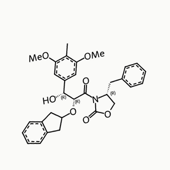 COc1cc([C@@H](O)[C@@H](OC2Cc3ccccc3C2)C(=O)N2C(=O)OC[C@H]2Cc2ccccc2)cc(OC)c1C